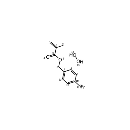 C=C(C)C(=O)OCc1ccc(C(C)C)cc1.OO